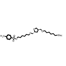 CCCCCCCCCCCCCCCCOC[C@@H]1CO[C@@H](COCCCCCCOS(=O)(=O)c2ccc(C)cc2)C1